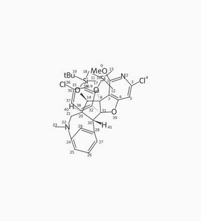 COc1nc(Cl)cc2c1[C@]1(O[Si](C)(C)C)[C@H](O[Si](C)(C)C(C)(C)C)[C@@H]3CN(C)c4cccc(c4)[C@H]3[C@]1(c1ccc(Cl)cc1)O2